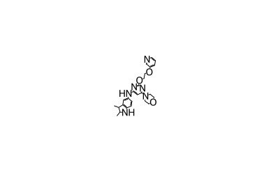 CC1Nc2ccc(Nc3cc(N4CCOCC4)nc(OCCOc4cccnc4)n3)cc2C1C